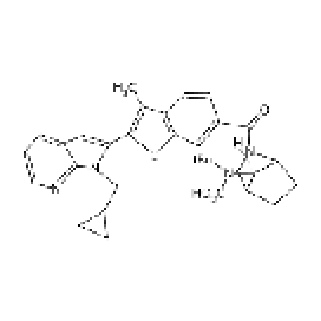 Cc1c(-c2cc3cccnc3n2CC2CC2)oc2cc(C(=O)N3CC4CCC3[C@@H]4N(C(=O)O)C(C)(C)C)ccc12